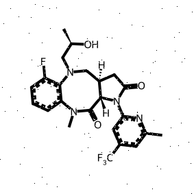 Cc1cc(C(F)(F)F)cc(N2C(=O)C[C@@H]3CN(C[C@@H](C)O)c4c(F)cccc4N(C)C(=O)[C@H]32)n1